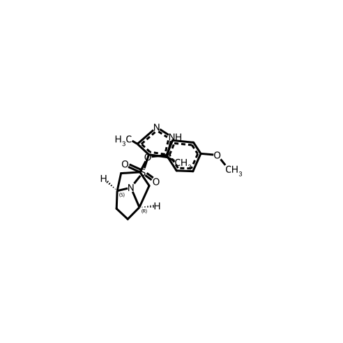 COc1ccc(OC2C[C@H]3CC[C@@H](C2)N3S(=O)(=O)c2c(C)n[nH]c2C)cc1